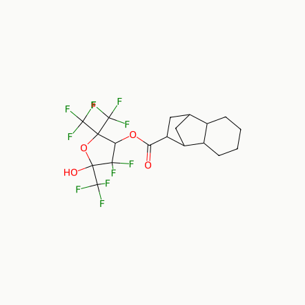 O=C(OC1C(F)(F)C(O)(C(F)(F)F)OC1(C(F)(F)F)C(F)(F)F)C1CC2CC1C1CCCCC21